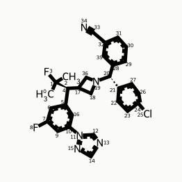 CC(C)(F)[C@H](c1cc(F)cc(-n2cncn2)c1)C1CN([C@@H](c2ccc(Cl)cc2)c2cccc(C#N)c2)C1